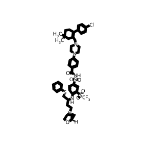 CC1(C)CCC(c2ccc(Cl)cc2)=C(CN2CCN(c3ccc(C(=O)NS(=O)(=O)c4ccc(NC(CCN5C[C@H]6CC5CO6)CSc5ccccc5)c(S(=O)(=O)C(F)(F)F)c4)cc3)CC2)C1